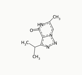 Cc1cn2nnc(C(C)C)c2c(=O)[nH]1